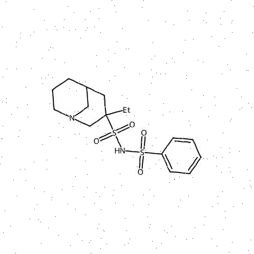 CCC1(S(=O)(=O)NS(=O)(=O)c2ccccc2)CC2CCCN(C2)C1